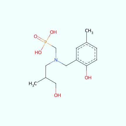 Cc1ccc(O)c(CN(CC(C)CO)CP(=O)(O)O)c1